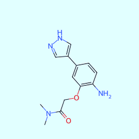 CN(C)C(=O)COc1cc(-c2cn[nH]c2)ccc1N